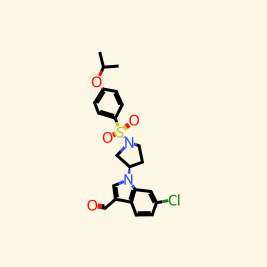 CC(C)Oc1ccc(S(=O)(=O)N2CC[C@@H](n3cc(C=O)c4ccc(Cl)cc43)C2)cc1